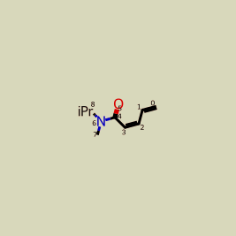 C=C/C=C\C(=O)N(C)C(C)C